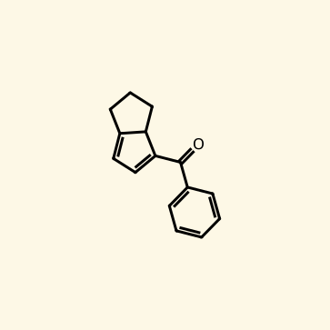 O=C(C1=CC=C2CCCC21)c1ccccc1